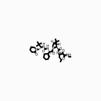 CCCC(NC(=O)[C@@H]1[C@@H]2[C@H](CN1C(=O)[C@@H](NC(=O)N[C@H](CN1CCCCC1=O)C(C)(C)C)C1CCCCC1)C2(C)C)C(=O)C(=O)NCC